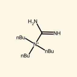 CCCC[N+](CCCC)(CCCC)C(=N)N